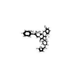 NC(Cn1c(=O)c2c(n(Cc3c(F)cccc3C(F)(F)F)c1=O)COC21CCN(Cc2ccco2)CC1)c1ccccc1